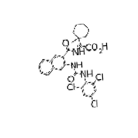 CC1([C@H](NC(=O)c2cc3ccccc3cc2NC(=O)Nc2c(Cl)cc(Cl)cc2Cl)C(=O)O)CCCCC1